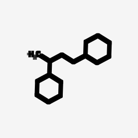 [CH2]C(CCC1CCCCC1)C1CCCCC1